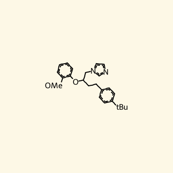 COc1ccccc1OC(CCc1ccc(C(C)(C)C)cc1)Cn1ccnc1